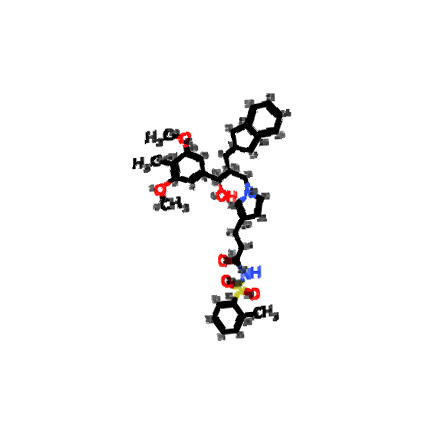 COc1cc([C@@H](O)[C@@H](CC2Cc3ccccc3C2)Cn2ccc(CCC(=O)NS(=O)(=O)c3ccccc3C)c2)cc(OC)c1C